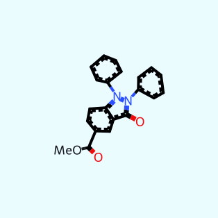 COC(=O)c1ccc2c(c1)c(=O)n(-c1ccccc1)n2-c1ccccc1